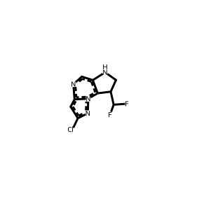 FC(F)C1CNc2cnc3cc(Cl)nn3c21